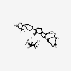 O=C(O)C(F)(F)F.O=C1CCC(N2Cc3c(ccc(C4CCN(C5CCNCC5(F)F)CC4)c3F)C2=O)C(=O)N1